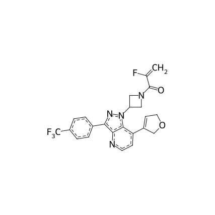 C=C(F)C(=O)N1CC(n2nc(-c3ccc(C(F)(F)F)cc3)c3nccc(C4=CCOC4)c32)C1